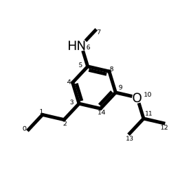 CCCc1cc(NC)cc(OC(C)C)c1